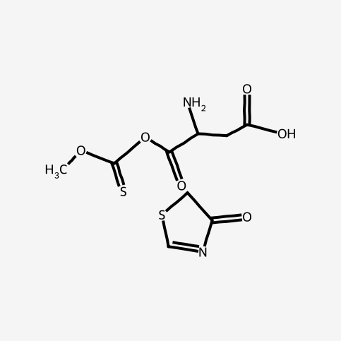 COC(=S)OC(=O)C(N)CC(=O)O.O=C1CSC=N1